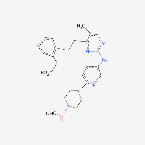 Cc1cnc(Nc2ccc(C3CCN(BC=O)CC3)nc2)nc1CCc1ccccc1CC(=O)O